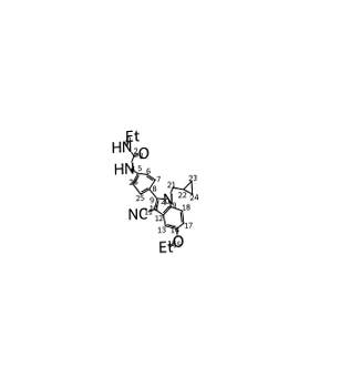 CCNC(=O)Nc1ccc(-c2c(C#N)c3cc(OCC)ccc3n2CC2CC2)cc1